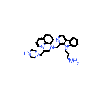 NCCCn1c2ccccc2c2ccnc(CN(CCCN3CCNCC3)[C@H]3CCCc4cccnc43)c21